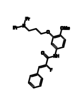 COc1ccc(NC(=O)/C(F)=C/c2ccccc2)cc1OCCCN(C(C)C)C(C)C